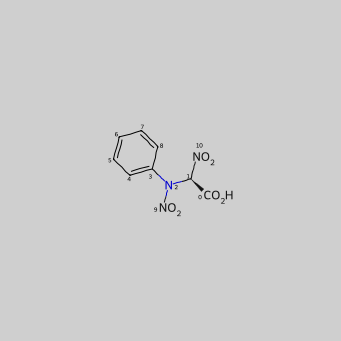 O=C(O)[C@@H](N(c1ccccc1)[N+](=O)[O-])[N+](=O)[O-]